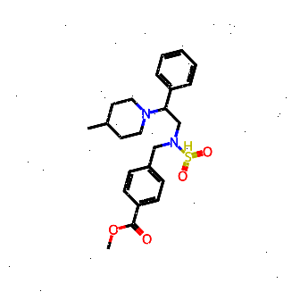 COC(=O)c1ccc(CN(CC(c2ccccc2)N2CCC(C)CC2)[SH](=O)=O)cc1